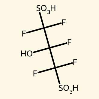 O=S(=O)(O)C(F)(F)C(O)(F)C(F)(F)S(=O)(=O)O